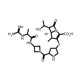 CC(NC(=N)N)C(=O)NC1CN(C(=O)C2CC(SC3=C(C(=O)O)N4C(=O)C(C(C)O)[C@@H]4C3C)CN2)C1